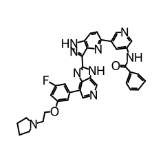 O=C(Nc1cncc(-c2ccc3[nH]nc(-c4nc5c(-c6cc(F)cc(OCCN7CCCC7)c6)cncc5[nH]4)c3n2)c1)c1ccccc1